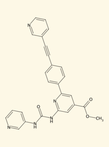 COC(=O)c1cc(NC(=O)Nc2cccnc2)nc(-c2ccc(C#Cc3cccnc3)cc2)c1